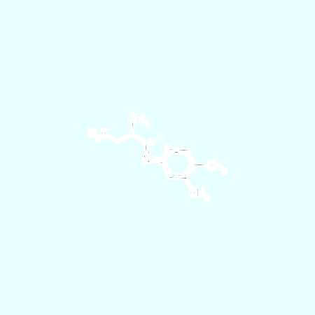 CCC(C)c1nc2cc(C)c(C)cc2s1